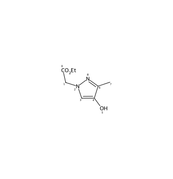 CCOC(=O)Cn1cc(O)c(C)n1